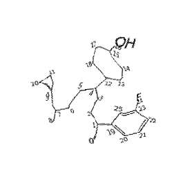 CC(CCC(CCC(C)C1CC1)C1CCC(O)CC1)c1cccc(F)c1